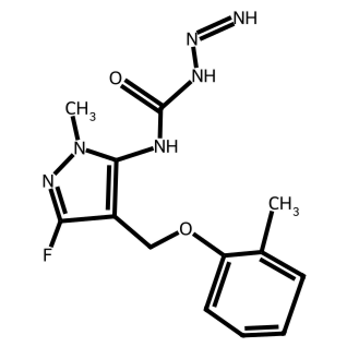 Cc1ccccc1OCc1c(F)nn(C)c1NC(=O)NN=N